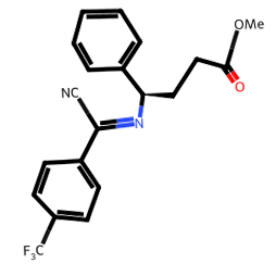 COC(=O)CC[C@@H](/N=C(\C#N)c1ccc(C(F)(F)F)cc1)c1ccccc1